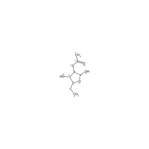 CCC1OC(O)C(OC(C)=O)C1O